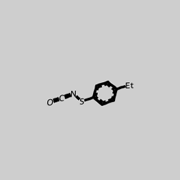 CCc1ccc(SN=C=O)cc1